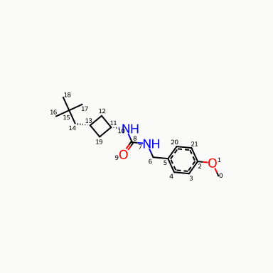 COc1ccc(CNC(=O)N[C@H]2C[C@@H](CC(C)(C)C)C2)cc1